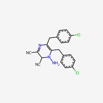 N#CC1=NC(Cc2ccc(Cl)cc2)=C(Cc2ccc(Cl)cc2)N(N)C1C#N